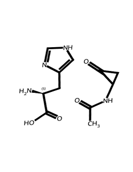 CC(=O)NC1CC1=O.N[C@@H](Cc1c[nH]cn1)C(=O)O